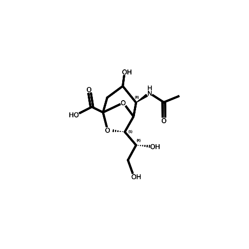 CC(=O)N[C@@H]1C(O)CC2(C(=O)O)OC1[C@H]([C@H](O)CO)O2